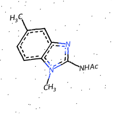 CC(=O)Nc1nc2cc(C)ccc2n1C